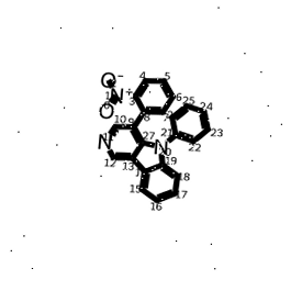 O=[N+]([O-])c1ccccc1-c1cncc2c3ccccc3n(-c3ccccc3)c12